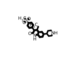 CCc1c(-c2ccc(S(C)(=O)=O)cc2)c(=O)[nH]c2ccc(C3CCNCC3)cc12